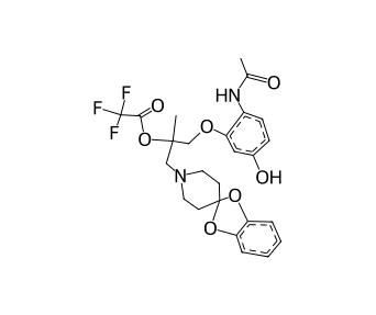 CC(=O)Nc1ccc(O)cc1OCC(C)(CN1CCC2(CC1)Oc1ccccc1O2)OC(=O)C(F)(F)F